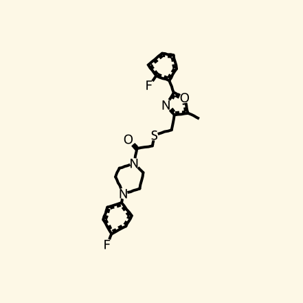 Cc1oc(-c2ccccc2F)nc1CSCC(=O)N1CCN(c2ccc(F)cc2)CC1